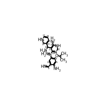 CC(C)Oc1cc(N)c(C=N)cc1N(N)C1=NCNC(N)=C1C(N)C1=CC=CNC1